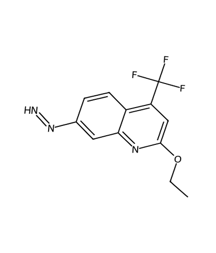 CCOc1cc(C(F)(F)F)c2ccc(N=N)cc2n1